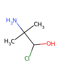 CC(C)(N)C(O)Cl